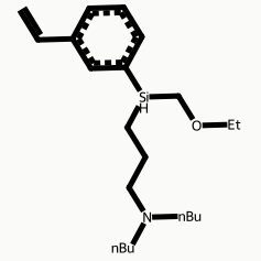 C=Cc1cccc([SiH](CCCN(CCCC)CCCC)COCC)c1